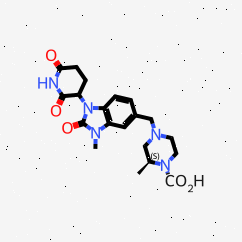 C[C@H]1CN(Cc2ccc3c(c2)n(C)c(=O)n3C2CCC(=O)NC2=O)CCN1C(=O)O